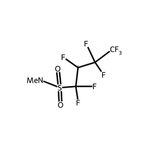 CNS(=O)(=O)C(F)(F)[C](F)C(F)(F)C(F)(F)F